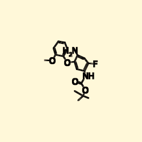 COc1ccccc1Oc1cc(NC(=O)OC(C)(C)C)c(F)cc1N